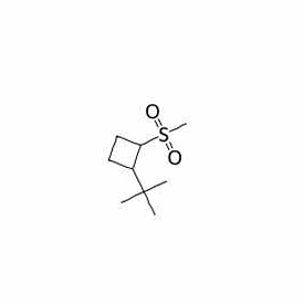 CC(C)(C)C1CCC1S(C)(=O)=O